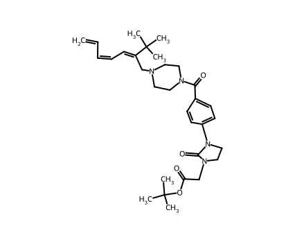 C=C/C=C\C=C(/CN1CCN(C(=O)c2ccc(N3CCN(CC(=O)OC(C)(C)C)C3=O)cc2)CC1)C(C)(C)C